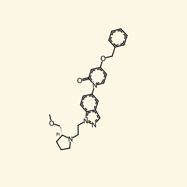 COC[C@H]1CCCN1CCn1ncc2cc(-n3ccc(OCc4ccccc4)cc3=O)ccc21